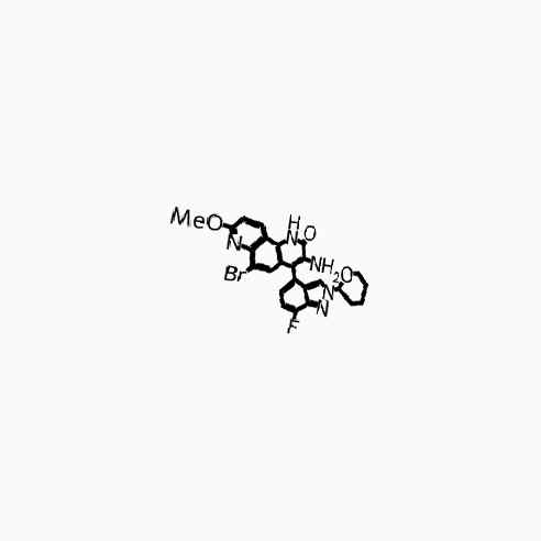 COc1ccc2c(n1)c(Br)cc1c(-c3ccc(F)c4nn(C5CCCCO5)cc34)c(N)c(=O)[nH]c12